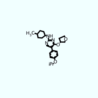 CC1CCC(Nc2ncc(-c3ccc(OC(C)C)cc3)c(OC3CCOC3)n2)CC1